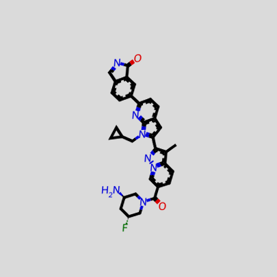 Cc1c(-c2cc3ccc(-c4ccc5c(c4)C(=O)N=C5)nc3n2CC2CC2)nn2cc(C(=O)N3C[C@H](N)C[C@@H](F)C3)ccc12